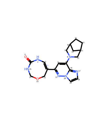 O=C1N/C=C(/c2cc(N3CC4CCC(C4)C3)c3nccn3n2)COCN1